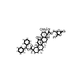 CO[C@H]1CC[C@@]2(C)[C@@H](CC[C@]3(C)[C@@H]2C(=O)C=C2[C@@H]4C[C@@](C)(C(=O)OC(c5ccccc5)c5ccccc5)CC[C@]4(C)CC[C@]23C)[C@]1(C)C(=O)OCc1oc(=O)oc1C(C)C